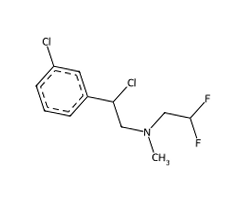 CN(CC(F)F)CC(Cl)c1cccc(Cl)c1